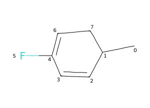 CC1C=CC(F)=CC1